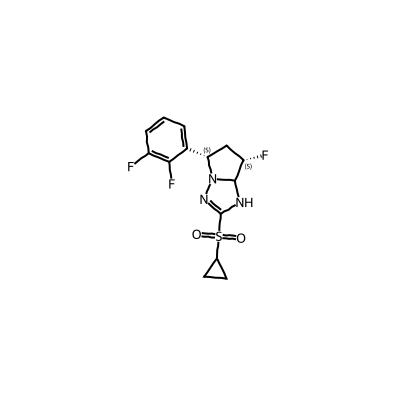 O=S(=O)(C1=NN2C(N1)[C@@H](F)C[C@H]2c1cccc(F)c1F)C1CC1